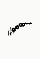 CCCCCCC1CCC2CC(c3ccc(-c4cc(F)c(OCC(F)(F)F)c(F)c4)cc3)CCC2C1